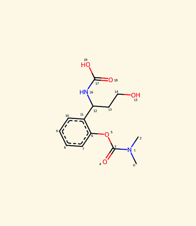 CN(C)C(=O)Oc1ccccc1C(CCO)NC(=O)O